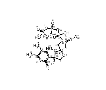 Cc1cn([C@@]2(F)CO[C@](CN=[N+]=[N-])(COP(=O)(O)OP(=O)(O)OP(=O)(O)O)[C@H]2O)c(=O)nc1N